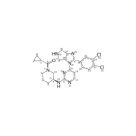 O=C(C1CC1)N1CCC[C@H](Nc2nccc(-n3c(-c4ccc(Cl)c(Cl)c4)nc4c3CNC4)n2)C1